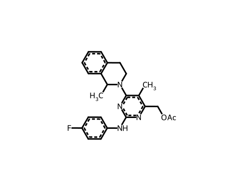 CC(=O)OCc1nc(Nc2ccc(F)cc2)nc(N2CCc3ccccc3C2C)c1C